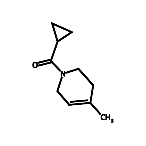 CC1=CCN(C(=O)C2CC2)CC1